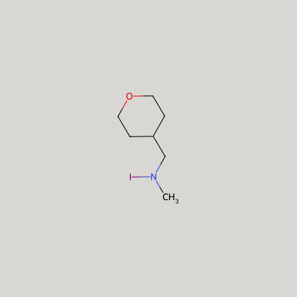 CN(I)CC1CCOCC1